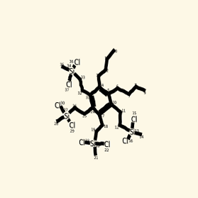 CCCCc1c(CCCC)c(CC[Si](C)(Cl)Cl)c(CC[Si](C)(Cl)Cl)c(CC[Si](C)(Cl)Cl)c1CC[Si](C)(Cl)Cl